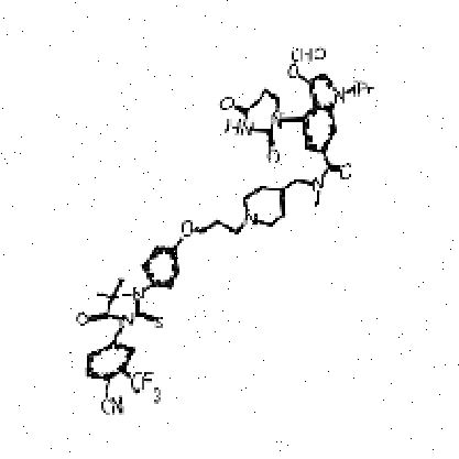 CC(C)n1cc(OC=O)c2c(N3CCC(=O)NC3=O)cc(C(=O)N(C)CC3CCN(CCCOc4ccc(N5C(=S)N(c6ccc(C#N)c(C(F)(F)F)c6)C(=O)C5(C)C)cc4)CC3)cc21